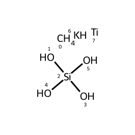 C.O[Si](O)(O)O.[KH].[Ti]